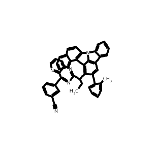 CCC(c1nc(-c2cccc(C#N)c2)c2ncccc2n1)c1c(-c2ccccc2C)cc2c3ccccc3n3c4ccc5ccccc5c4c1c23